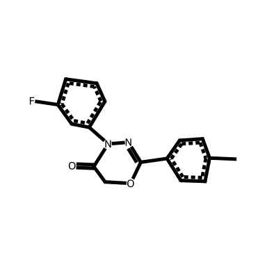 Cc1ccc(C2=NN(c3cccc(F)c3)C(=O)CO2)cc1